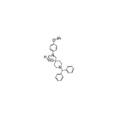 CC(C)Oc1ccc(N(C)CC2(O)CCN(C(c3ccccc3)c3ccccc3)CC2)cc1